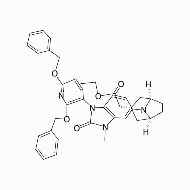 CCOC(=O)C[C@@H]1C[C@H]2CC[C@@H](C1)N2c1ccc2c(c1)n(C)c(=O)n2-c1ccc(OCc2ccccc2)nc1OCc1ccccc1